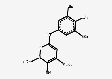 CCCCCCCCC1=C(S)N(CCCCCCCC)SC(Nc2cc(C(C)(C)C)c(O)c(C(C)(C)C)c2)=C1